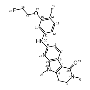 CN1CCc2c(c3ccc(Nc4ccc(F)c(OCCF)c4)nc3n2C)C1=O